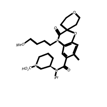 COCCCCN1C(=O)C2(CCOCC2)Oc2cc(C)c(C(=O)N(C(C)C)[C@@H]3CCCN(C(=O)O)C3)cc21